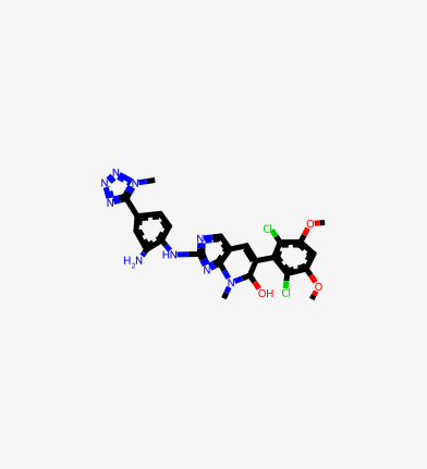 COc1cc(OC)c(Cl)c(C2=Cc3cnc(Nc4ccc(-c5nnnn5C)cc4N)nc3N(C)C2O)c1Cl